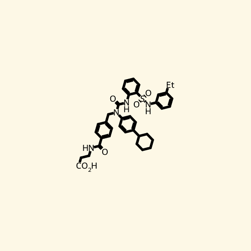 CCc1cccc(NS(=O)(=O)c2ccccc2NC(=O)N(Cc2ccc(C(=O)NCCC(=O)O)cc2)c2ccc(C3CCCCC3)cc2)c1